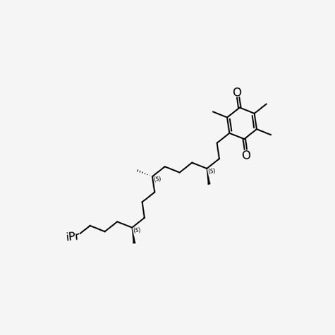 CC1=C(C)C(=O)C(CC[C@@H](C)CCC[C@@H](C)CCC[C@@H](C)CCCC(C)C)=C(C)C1=O